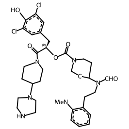 CNc1ccccc1CCN(C=O)C1CCN(C(=O)O[C@H](Cc2cc(Cl)c(O)c(Cl)c2)C(=O)N2CCC(N3CCNCC3)CC2)CC1